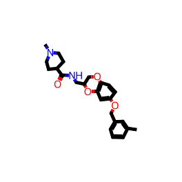 Cc1cccc(COc2ccc3c(c2)OC(CNC(=O)C2CCN(C)CC2)CO3)c1